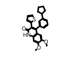 COc1cc2[nH]c(=O)c(-c3cccs3)c(-c3cccc(C4CCCC4)c3)c2cc1OC